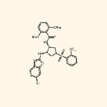 COc1cccc(OC)c1C(=O)N[C@H]1CN(S(=O)(=O)c2ccccc2[N+](=O)[O-])C[C@H]1Nc1nc2ccc(Cl)cc2s1